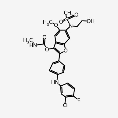 CNC(=O)Oc1c(-c2ccc(Nc3ccc(F)c(Cl)c3)cc2)oc2cc(N(CCO)S(C)(=O)=O)c(OC)cc12